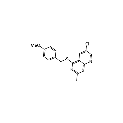 COc1ccc(CSc2nc(C)cc3ncc(Cl)cc23)cc1